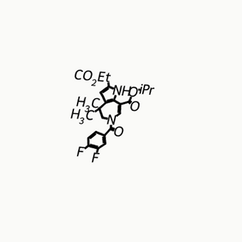 CCOC(=O)c1cc2c([nH]1)C(C(=O)OC(C)C)=CN(C(=O)c1ccc(F)c(F)c1)CC2(C)C